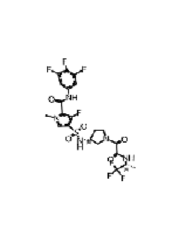 C[C@@H](NC(=O)C(=O)N1CC[C@@H](NS(=O)(=O)c2cn(C)c(C(=O)Nc3cc(F)c(F)c(F)c3)c2F)C1)C(F)(F)F